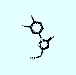 O=C(O)Oc1cc(=O)n(-c2ccc(Cl)c(Cl)c2)[nH]1